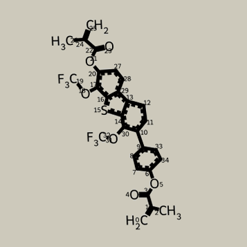 C=C(C)C(=O)Oc1ccc(-c2ccc3c(sc4c(OC(F)(F)F)c(OC(=O)C(=C)C)ccc43)c2OC(F)(F)F)cc1